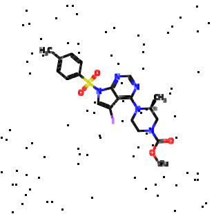 Cc1ccc(S(=O)(=O)n2cc(I)c3c(N4CCN(C(=O)OC(C)(C)C)C[C@@H]4C)ncnc32)cc1